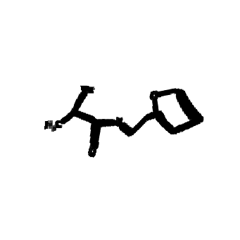 CC(Br)C(=O)SCc1ccco1